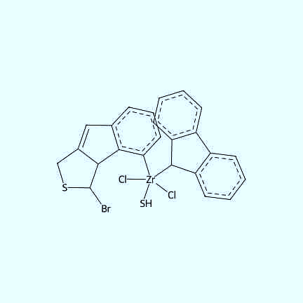 [SH][Zr]([Cl])([Cl])([c]1cccc2c1C1C(=C2)CSC1Br)[CH]1c2ccccc2-c2ccccc21